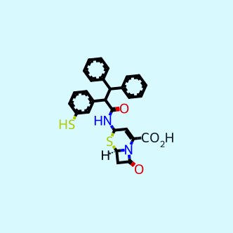 O=C(O)C1=CC(NC(=O)C(c2cccc(S)c2)C(c2ccccc2)c2ccccc2)S[C@@H]2CC(=O)N12